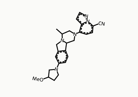 COC1CCN(c2ccc3c(c2)CN2C(C)CN(c4ccc(C#N)n5nccc45)CC32)C1